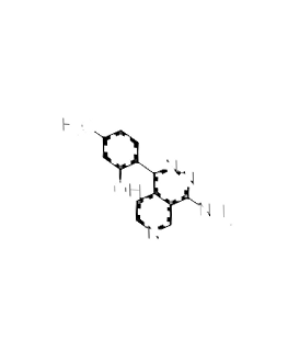 Nc1nnc(-c2ccc(C(F)(F)F)cc2O)c2ccncc12